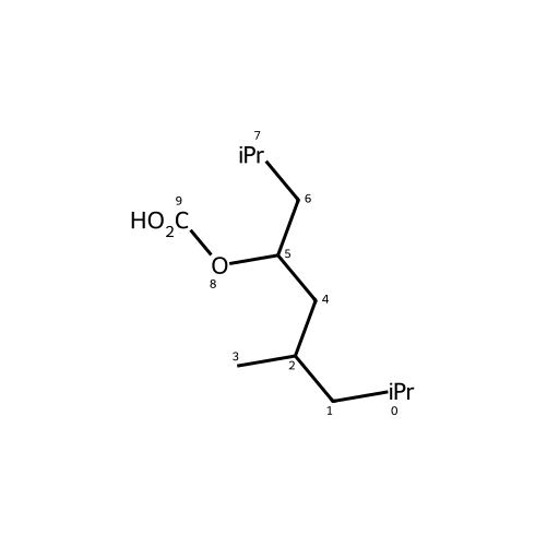 CC(C)CC(C)CC(CC(C)C)OC(=O)O